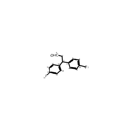 O=CCC(c1ccc(F)cc1)c1ccc(F)cc1